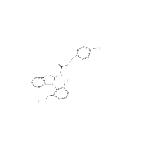 CC(C)c1ccc(CNC(=O)NC2Sc3ccccc3N2c2c(Cl)cccc2CN)cc1